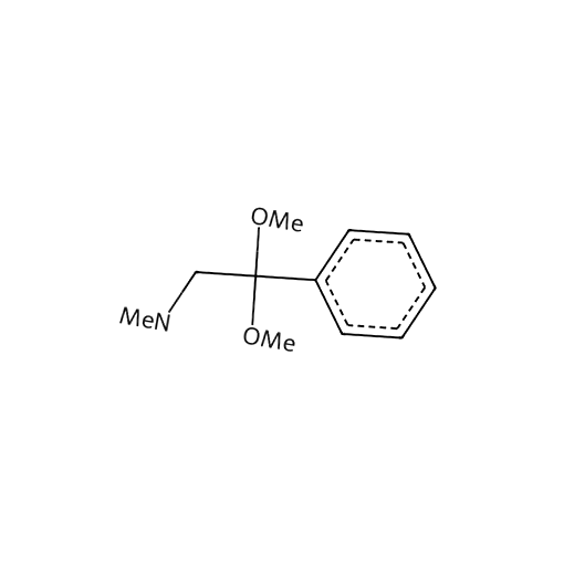 CNCC(OC)(OC)c1ccccc1